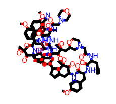 C#CCC(NC(=O)CN1CCOC(CC2(C(=O)C(CC3=CCCC3)NC(=O)C(Cc3ccc(OC)cc3)NC(=O)C(CC#N)NC(=O)CN3CCOCC3)CO2)C1)C(=O)NC(Cc1ccc(OC)cc1)C(=O)NC(CC1=CCC(C2CCC=C(CC(NC(=O)C(Cc3ccc(OC)cc3)NC(=O)C(NC(=O)CN3CCOCC3)C(C)O)C(=O)C3(C)CO3)C2)C1)C(=O)C1(C)CO1